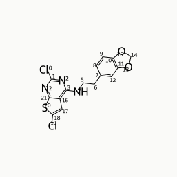 Clc1nc(NCCc2ccc3c(c2)OCO3)c2cc(Cl)sc2n1